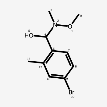 CON(C)C(O)c1ccc(Br)cc1C